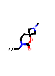 CN1CC2(CCN(CC(F)(F)F)C(=O)O2)C1